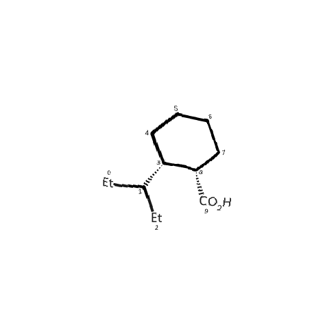 CCC(CC)[C@@H]1CCCC[C@@H]1C(=O)O